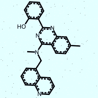 Cc1ccc2c(N(C)Cc3cccc4ncccc34)nc(-c3ccccc3O)nc2c1